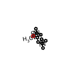 Cc1cc(C)nc(-c2cc(-c3cccc(-c4nc(-c5ccccc5)nc(-c5ccccc5-c5ccccn5)n4)c3)cc(-c3ccccc3-c3nc(-c4ccccc4)nc(-c4ccccc4)n3)c2)n1